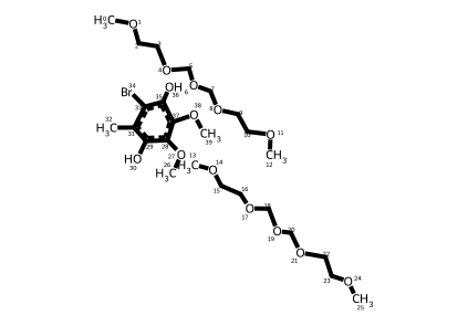 COCCOCOCOCCOC.COCCOCOCOCCOC.COc1c(O)c(C)c(Br)c(O)c1OC